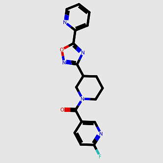 O=C(c1ccc(F)nc1)N1CCCC(c2noc(-c3ccccn3)n2)C1